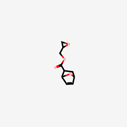 O=C(OCC1CO1)C1CC2C=CC1O2